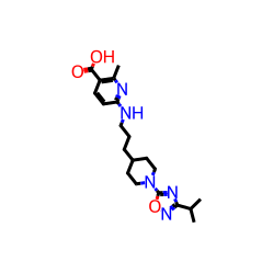 Cc1nc(NCCCC2CCN(c3nc(C(C)C)no3)CC2)ccc1C(=O)O